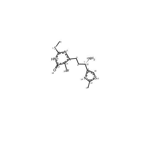 CSc1nc(CC[C@H](N)c2csc(C)n2)c(Br)c(=O)[nH]1